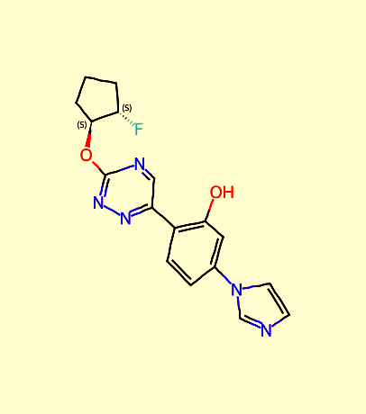 Oc1cc(-n2ccnc2)ccc1-c1cnc(O[C@H]2CCC[C@@H]2F)nn1